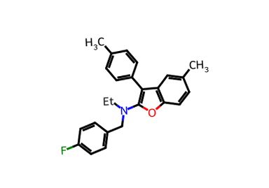 CCN(Cc1ccc(F)cc1)c1oc2ccc(C)cc2c1-c1ccc(C)cc1